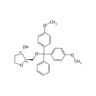 COc1ccc(C(OC[C@H]2OCC[C@@H]2O)(c2ccccc2)c2ccc(OC)cc2)cc1